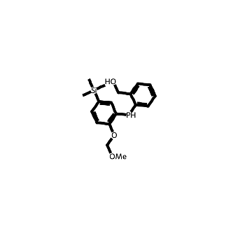 COCOc1ccc([Si](C)(C)C)cc1Pc1ccccc1CO